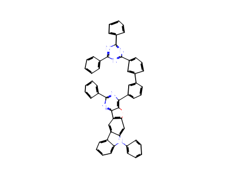 c1ccc(-c2nc(-c3ccccc3)nc(-c3cccc(-c4cccc(-c5nc(-c6ccccc6)nc6c5oc5cc7c(cc56)c5ccccc5n7-c5ccccc5)c4)c3)n2)cc1